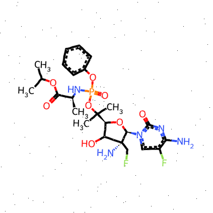 CC(C)OC(=O)[C@H](C)NP(=O)(Oc1ccccc1)OC(C)(C)[C@H]1O[C@@H](n2cc(F)c(N)nc2=O)[C@@](N)(CF)C1O